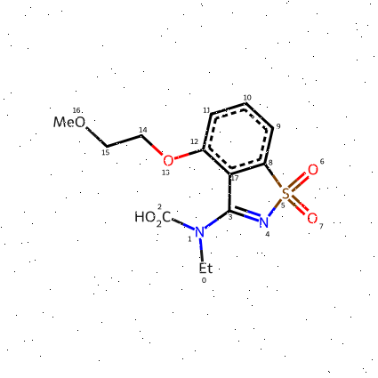 CCN(C(=O)O)C1=NS(=O)(=O)c2cccc(OCCOC)c21